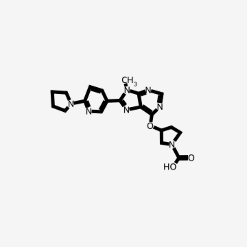 Cn1c(-c2ccc(N3CCCC3)nc2)nc2c(OC3CCN(C(=O)O)C3)ncnc21